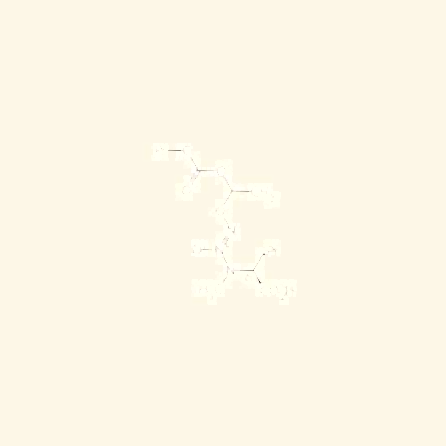 CC(C)OC(=O)OC(C)ON=[N+]([O-])N(C)[C@H](C(=O)O)C(C)C